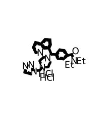 CCN(CC)C(=O)c1ccc(C(c2cccc3cccnc23)N2CCN(Cn3ccnn3)CC2)cc1.Cl.Cl